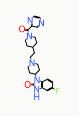 O=C(c1cnccn1)N1CCC(CCN2CCC(n3c(=O)[nH]c4cc(F)ccc43)CC2)CC1